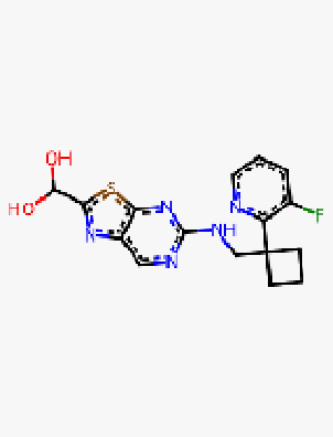 OC(O)c1nc2cnc(NCC3(c4ncccc4F)CCC3)nc2s1